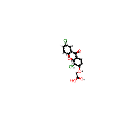 O=C(O)COc1ccc2c(=O)c3cc(Cl)ccc3oc2c1Cl